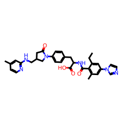 CCc1cc(-n2ccnc2)cc(C)c1C(=O)NC(Cc1ccc(N2CC(CNc3cc(C)ccn3)CC2=O)cc1)C(=O)O